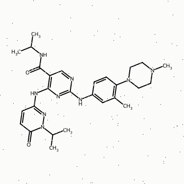 Cc1cc(Nc2ncc(C(=O)NC(C)C)c(Nc3ccc(=O)n(C(C)C)n3)n2)ccc1N1CCN(C)CC1